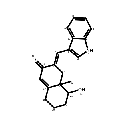 CC12CC(=Cc3c[nH]c4ccccc34)C(=O)C=C1CCCC2O